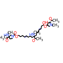 CNC(CCC/C=C/CCCOC(=O)N1CC[C@@](NC)(C(C)=O)C1)(CCC/C=C/CC(O)O[C@H]1C[C@H](C(C)=O)N(C)C1)C(C)=O